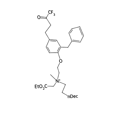 CCCCCCCCCCCC[N+](C)(CCOc1ccc(CCC(=O)C(F)(F)F)cc1Cc1ccccc1)CC(=O)OCC